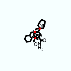 CC(C)(CO)C(=O)N(CCN1C2CCC1CC(c1cccc(C(N)=O)c1)C2)CC1CCCCC1